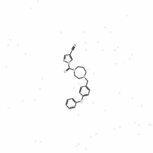 N#Cc1cnn(C(=O)N2CCCN(Cc3ccc(Oc4ccccc4)cc3)CC2)c1